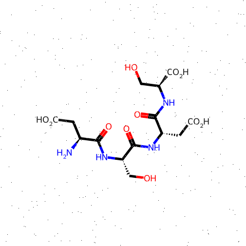 N[C@@H](CC(=O)O)C(=O)N[C@@H](CO)C(=O)N[C@@H](CC(=O)O)C(=O)N[C@@H](CO)C(=O)O